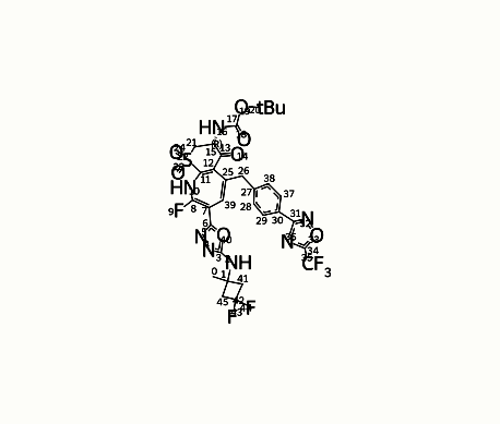 CC1(Nc2nnc(C3=C(F)NC4=C(C(=O)[C@@H](NC(=O)OC(C)(C)C)CS4(=O)=O)C(Cc4ccc(-c5noc(C(F)(F)F)n5)cc4)=C3)o2)CC(F)(F)C1